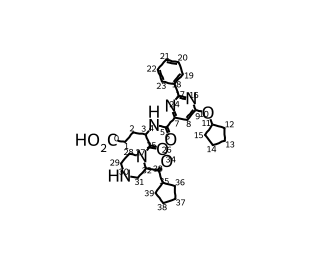 O=C(O)CCC(NC(=O)c1cc(OC2CCCC2)nc(-c2ccccc2)n1)C(=O)N1CCNCC1C(=O)C1CCCC1